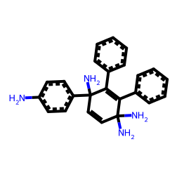 Nc1ccc(C2(N)C=CC(N)(N)C(c3ccccc3)=C2c2ccccc2)cc1